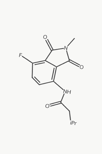 CC(C)CC(=O)Nc1ccc(F)c2c1C(=O)N(C)C2=O